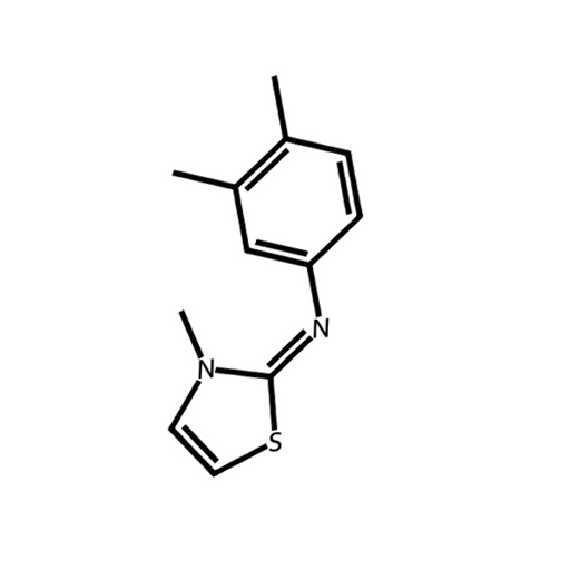 Cc1ccc(N=c2sccn2C)cc1C